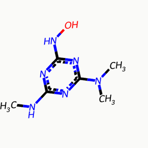 CNc1nc(NO)nc(N(C)C)n1